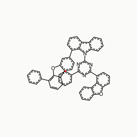 C1=CC(c2ccccc2)=C2Oc3cc(-c4cccc5c6ccccc6n(-c6nc(-c7ccccc7)nc(-c7cccc8oc9ccccc9c78)n6)c45)ccc3C2C1